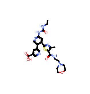 CCNC(=O)Nc1cc(-c2nc(C)c(C(=O)NCCN3CCOCC3)s2)c(-c2cncc(C(=O)O)c2)cn1